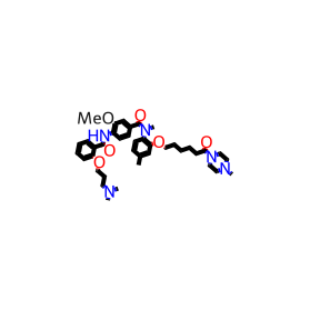 COc1cc(C(=O)N(C)c2ccc(C)cc2OCCCCCC(=O)N2CCN(C)CC2)ccc1NC(=O)c1ccccc1OCCCN(C)C